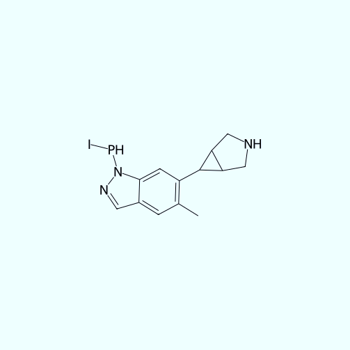 Cc1cc2cnn(PI)c2cc1C1C2CNCC21